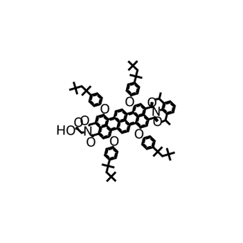 CC(C)c1cccc(C(C)C)c1N1C(=O)c2cc(Oc3ccc(C(C)(C)CC(C)(C)C)cc3)c3c4ccc5c6c(Oc7ccc(C(C)(C)CC(C)(C)C)cc7)cc7c8c(cc(Oc9ccc(C(C)(C)CC(C)(C)C)cc9)c(c9ccc(c%10c(Oc%11ccc(C(C)(C)CC(C)(C)C)cc%11)cc(c2c3%10)C1=O)c4c59)c86)C(=O)N(CC(=O)O)C7=O